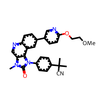 COCCOc1ccc(-c2ccc3ncc4c(c3c2)n(-c2ccc(C(C)(C)C#N)cc2)c(=O)n4C)cn1